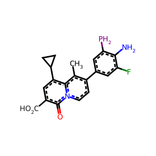 Cc1c(-c2cc(F)c(N)c(P)c2)ccn2c(=O)c(C(=O)O)cc(C3CC3)c12